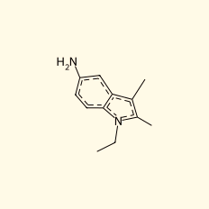 CCn1c(C)c(C)c2cc(N)ccc21